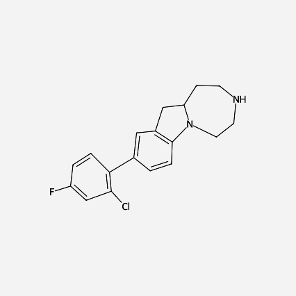 Fc1ccc(-c2ccc3c(c2)CC2CCNCCN32)c(Cl)c1